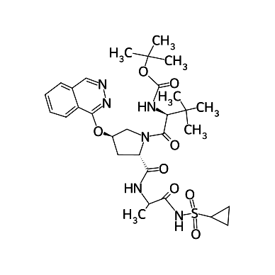 CC(NC(=O)[C@@H]1C[C@@H](Oc2nncc3ccccc23)CN1C(=O)[C@@H](NC(=O)OC(C)(C)C)C(C)(C)C)C(=O)NS(=O)(=O)C1CC1